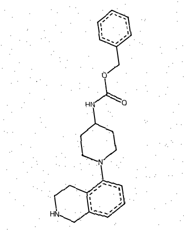 O=C(NC1CCN(c2cccc3c2CCNC3)CC1)OCc1ccccc1